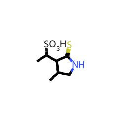 CC1CNC(=S)C1C(C)S(=O)(=O)O